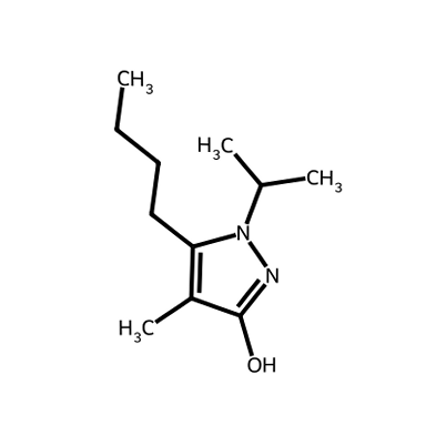 CCCCc1c(C)c(O)nn1C(C)C